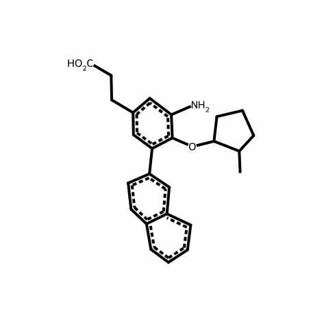 CC1CCCC1Oc1c(N)cc(CCC(=O)O)cc1-c1ccc2ccccc2c1